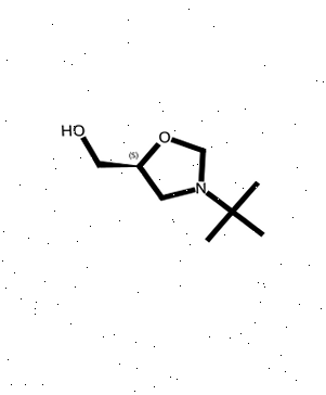 CC(C)(C)N1CO[C@H](CO)C1